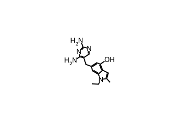 CCn1c(C)cc2c(O)cc(Cc3cnc(N)nc3N)cc21